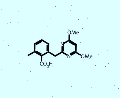 COc1cc(OC)nc(Cc2cccc(C)c2C(=O)O)n1